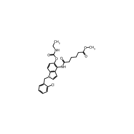 CCNC(=O)Oc1ccc2c(ccn2Cc2ccccc2Cl)c1NC(=O)CCCCC(=O)OC